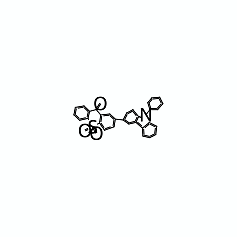 O=C1c2ccccc2S(=O)(=O)c2ccc(-c3ccc4c(c3)c3ccccc3n4-c3ccccc3)cc21